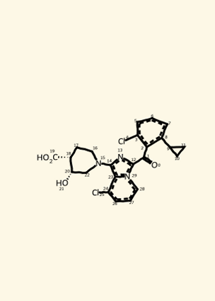 O=C(c1c(Cl)cccc1C1CC1)c1nc(N2CC[C@@H](C(=O)O)[C@@H](O)C2)c2c(Cl)cccn12